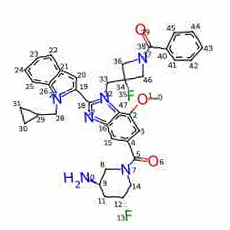 COc1cc(C(=O)N2C[C@H](N)C[C@@H](F)C2)cc2nc(-c3cc4ccccc4n3CC3CC3)n(CC3(F)CN(C(=O)c4ccccc4)C3)c12